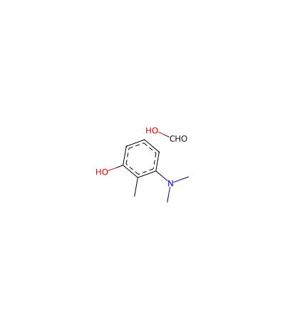 Cc1c(O)cccc1N(C)C.O=CO